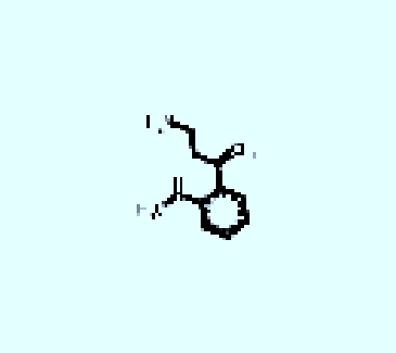 C=C(CCN)c1ccccc1NC